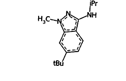 CC(C)Nc1nn(C)c2cc(C(C)(C)C)ccc12